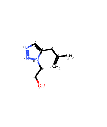 C=C(C)Cc1cnnn1CCO